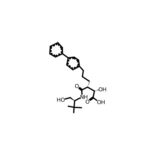 CC(C)(C)[C@@H](CO)NC(=O)[C@H](CCCc1ccc(-c2ccccc2)cc1)[C@H](O)C(=O)O